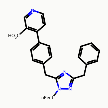 CCCCCn1nc(Cc2ccccc2)nc1Cc1ccc(-c2ccncc2C(=O)O)cc1